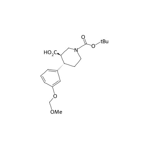 COCOc1cccc([C@H]2CCN(C(=O)OC(C)(C)C)C[C@@H]2C(=O)O)c1